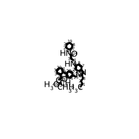 CCCCc1nc2ccc(NCCC(=O)NC3CCCCC3)cc2n1Cc1ccc(-c2ccccc2C(=O)OC(C)(C)C)cc1